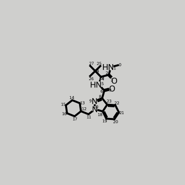 CNC(=O)[C@@H](NC(=O)c1nn(CC2CCCCC2)c2ccccc12)C(C)(C)C